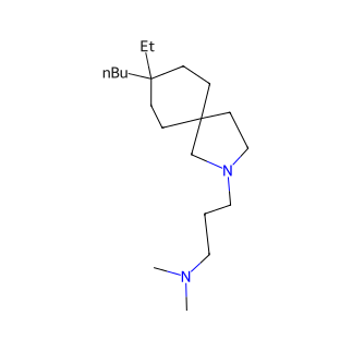 CCCCC1(CC)CCC2(CCN(CCCN(C)C)C2)CC1